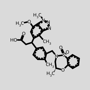 COc1cc(C(CC(=O)O)c2ccc(C)c(CN3C[C@@H](C)Oc4ccccc4S3(=O)=O)c2)c(C)c2nnn(C)c12